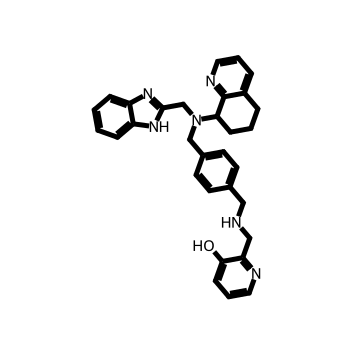 Oc1cccnc1CNCc1ccc(CN(Cc2nc3ccccc3[nH]2)C2CCCc3cccnc32)cc1